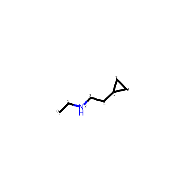 [CH2]CNCCC1CC1